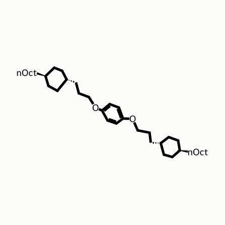 CCCCCCCC[C@H]1CC[C@H](CCCOc2ccc(OCCC[C@H]3CC[C@H](CCCCCCCC)CC3)cc2)CC1